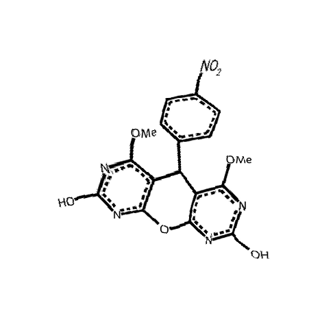 COc1nc(O)nc2c1C(c1ccc([N+](=O)[O-])cc1)c1c(OC)nc(O)nc1O2